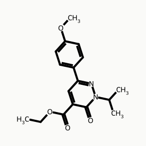 CCOC(=O)c1cc(-c2ccc(OC)cc2)nn(C(C)C)c1=O